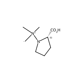 [CH2][N+](C)(C)N1CCC[C@H]1C(=O)O